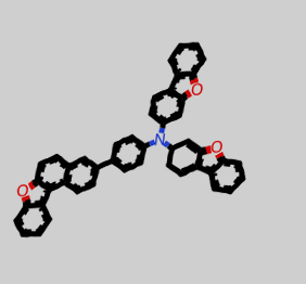 C1=c2oc3ccccc3c2=CCC1N(c1ccc(-c2ccc3c(ccc4oc5ccccc5c43)c2)cc1)c1ccc2c(c1)oc1ccccc12